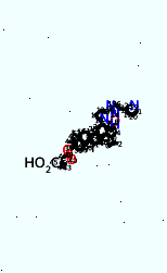 C=C(C)[C@@H]1CC[C@]2(C(=O)N3CCC[C@H]3c3ncc(-c4cccnc4)[nH]3)CC[C@]3(C)[C@H](CC[C@@H]4[C@@]5(C)CC[C@H](OC(=O)CC(C)(C)C(=O)O)C(C)(C)[C@@H]5CC[C@]43C)[C@@H]12